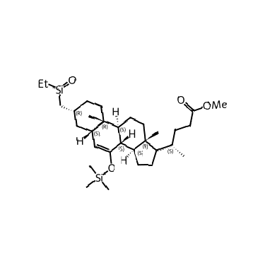 CC[Si](=O)C[C@@H]1CC[C@@]2(C)[C@H](C=C(O[Si](C)(C)C)[C@@H]3[C@@H]2CC[C@]2(C)C([C@@H](C)CCC(=O)OC)CC[C@@H]32)C1